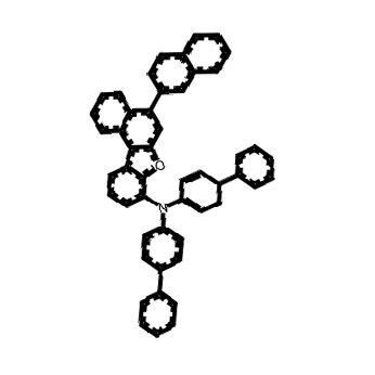 C1=CC(c2ccccc2)CC=C1N(c1ccc(-c2ccccc2)cc1)c1cccc2c1oc1cc(-c3ccc4ccccc4c3)c3ccccc3c12